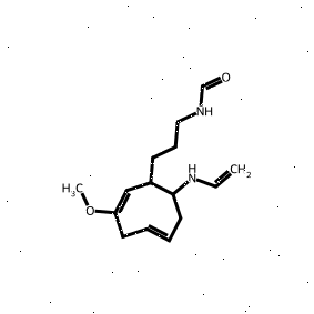 C=CNC1C/C=C/C/C(OC)=C\C1CCCNC=O